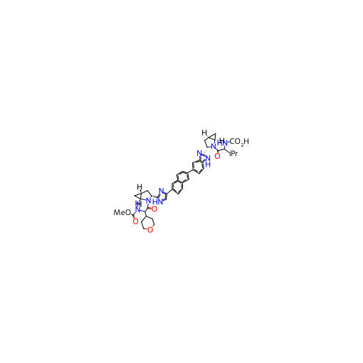 COC(=O)NC(C(=O)N1[C@@H]2C[C@@H]2C[C@H]1c1nc(-c2ccc3cc(-c4ccc5[nH]c([C@@H]6C[C@H]7C[C@H]7N6C(=O)C(NC(=O)O)C(C)C)nc5c4)ccc3c2)c[nH]1)C1CCOCC1